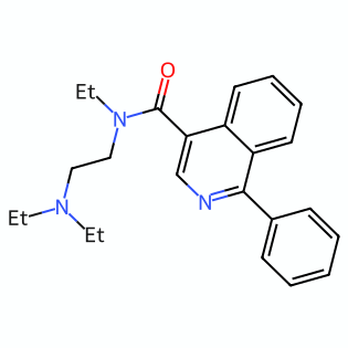 CCN(CC)CCN(CC)C(=O)c1cnc(-c2ccccc2)c2ccccc12